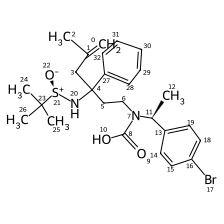 C=C(C)CC(CCN(C(=O)O)[C@@H](C)c1ccc(Br)cc1)(N[S@+]([O-])C(C)(C)C)c1ccccc1